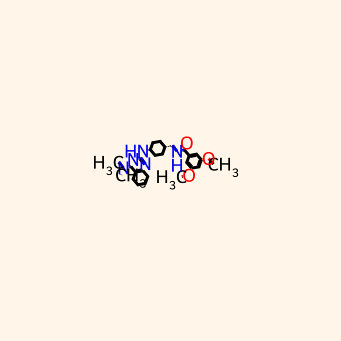 COc1cc(OC)cc(C(=O)NC[C@H]2CC[C@@H](Nc3nc4c(c(N(C)C)n3)CCCC4)CC2)c1